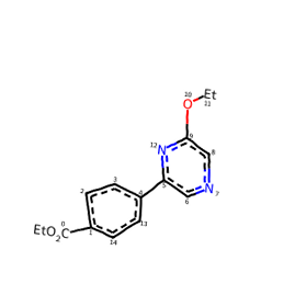 CCOC(=O)c1ccc(-c2cncc(OCC)n2)cc1